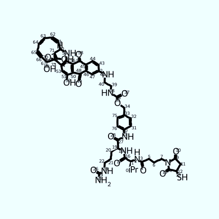 CC(C)[C@H](NC(=O)CCCN1C(=O)CC(S)C1=O)C(=O)N[C@@H](CCCNC(N)=O)C(=O)Nc1ccc(COC(=O)NCCNc2ccc3c(c2)C(=O)c2c(O)cc4c(c2C3=O)N[C@H]2C#C/C=C\C#C[C@@H](O)[C@@]43O[C@@]23[C@@H](C)O)cc1